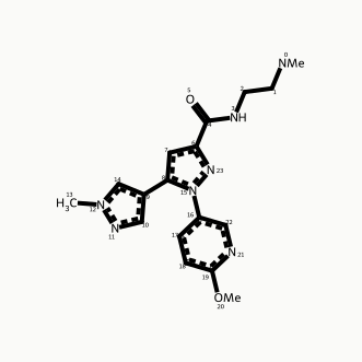 CNCCNC(=O)c1cc(-c2cnn(C)c2)n(-c2ccc(OC)nc2)n1